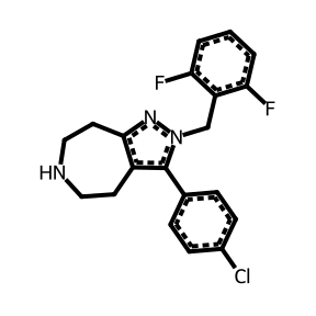 Fc1cccc(F)c1Cn1nc2c(c1-c1ccc(Cl)cc1)CCNCC2